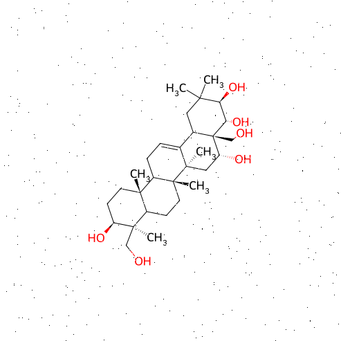 CC1(C)CC2C3=CCC4[C@@]5(C)CC[C@H](O)[C@](C)(CO)C5CC[C@@]4(C)[C@]3(C)C[C@@H](O)[C@@]2(CO)[C@@H](O)[C@@H]1O